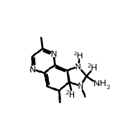 [2H]N1C2=c3nc(C)cnc3=CC(C)C2([2H])N(C)C1([2H])N